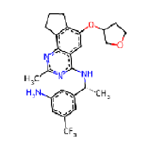 Cc1nc(N[C@H](C)c2cc(N)cc(C(F)(F)F)c2)c2cc(OC3CCOC3)c3c(c2n1)CCC3